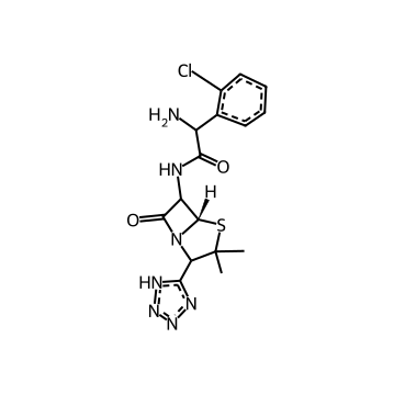 CC1(C)S[C@H]2C(NC(=O)C(N)c3ccccc3Cl)C(=O)N2C1c1nnn[nH]1